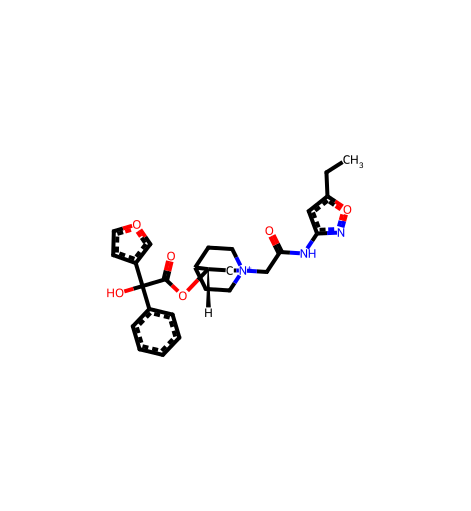 CCc1cc(NC(=O)C[N+]23CCC(CC2)[C@@H](OC(=O)C(O)(c2ccccc2)c2ccoc2)C3)no1